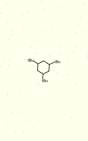 CC(C)(C)C1CC(C(C)(C)C)CN(C(C)(C)C)C1